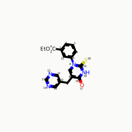 CCOC(=O)c1cccc(-n2cc(Cc3cncnc3)c(=O)[nH]c2=S)c1